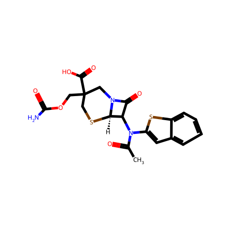 CC(=O)N(c1cc2ccccc2s1)C1C(=O)N2CC(COC(N)=O)(C(=O)O)CS[C@H]12